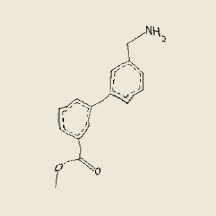 COC(=O)c1cccc(-c2cccc(CN)c2)c1